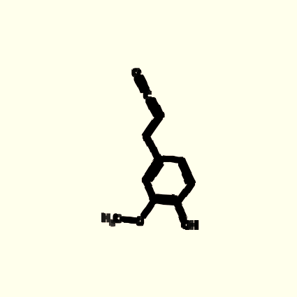 COc1cc(CC=C=O)ccc1O